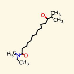 CCN(C)C(=O)CCCCCCCCCCC(=O)C(C)C